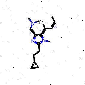 C\C=C/C(=c1/c(=C\N(C)C)nc(CCC2CC2)n1C)C(C)C